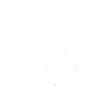 COCC1(CC(F)(F)F)CCCN1SS